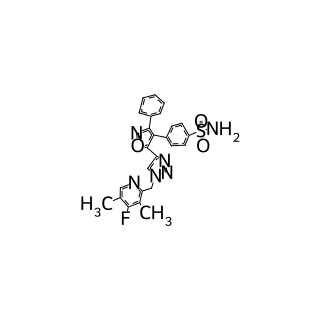 Cc1cnc(Cn2cc(-c3onc(-c4ccccc4)c3-c3ccc(S(N)(=O)=O)cc3)nn2)c(C)c1F